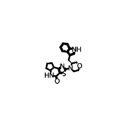 O=C1NC2CCCC2c2nc(N3CCOC[C@@H]3Cc3c[nH]c4ccccc34)sc21